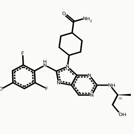 C[C@@H](CO)Nc1ncc2nc(Nc3c(F)cc(Cl)cc3F)n(C3CCC(C(N)=O)CC3)c2n1